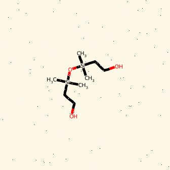 C[Si](C)(CCO)O[Si](C)(C)CCO